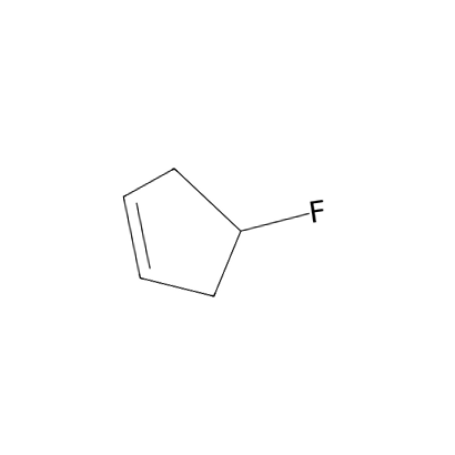 FC1CC=CC1